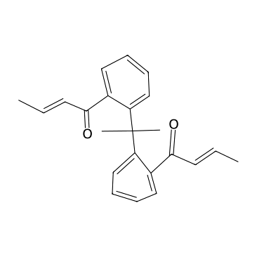 CC=CC(=O)c1ccccc1C(C)(C)c1ccccc1C(=O)C=CC